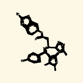 Cc1sc2c(c1C)C(c1ccc(Cl)cc1)=N[C@@H](CC(=O)Oc1ccc3sc(C#N)nc3c1)c1nnc(C)n1-2